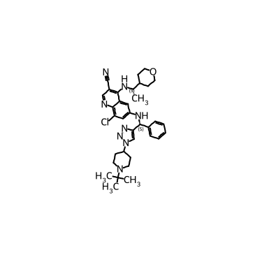 C[C@H](Nc1c(C#N)cnc2c(Cl)cc(N[C@@H](c3ccccc3)c3cn(C4CCN(C(C)(C)C)CC4)nn3)cc12)C1CCOCC1